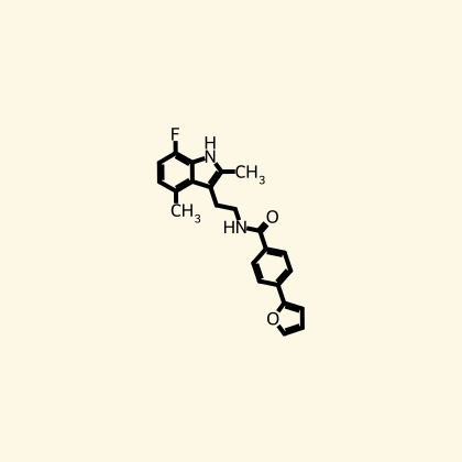 Cc1[nH]c2c(F)ccc(C)c2c1CCNC(=O)c1ccc(-c2ccco2)cc1